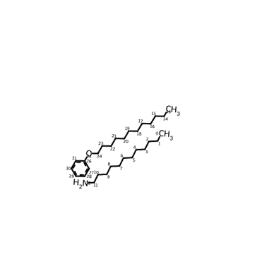 CCCCCCCCCCCCN.CCCCCCCCCCCCOc1ccccc1